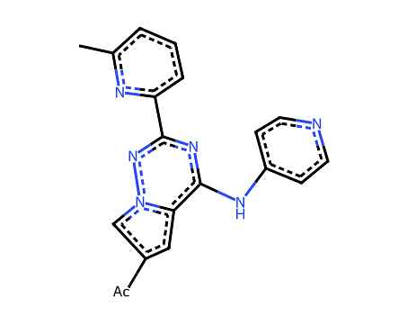 CC(=O)c1cc2c(Nc3ccncc3)nc(-c3cccc(C)n3)nn2c1